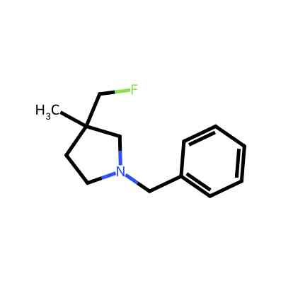 CC1(CF)CCN(Cc2ccccc2)C1